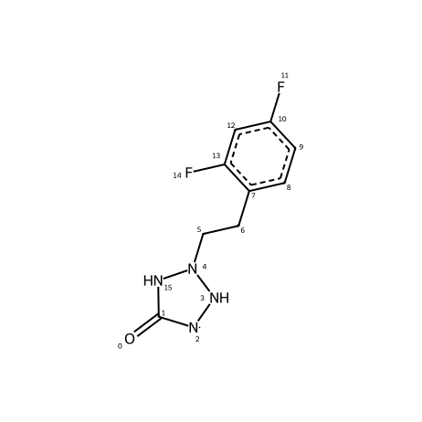 O=C1[N]NN(CCc2ccc(F)cc2F)N1